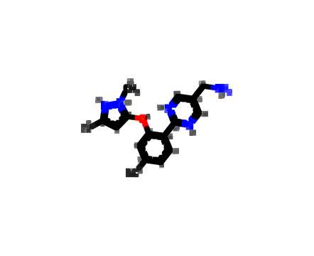 CCc1cc(Oc2cc(C#N)ccc2-c2ncc(CN)cn2)n(C)n1